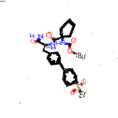 CCS(=O)(=O)c1ccc(-c2ccc(C[C@H](NC(=O)C3(NC(=O)OC(C)(C)C)CCCC3)C(N)=O)cc2)cc1